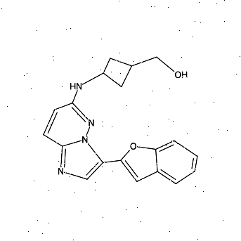 OCC1CC(Nc2ccc3ncc(-c4cc5ccccc5o4)n3n2)C1